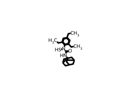 CCc1cc(CC)c(N(S)C(=O)NC23CC4CC(CC(C4)C2)C3)c(CC)c1